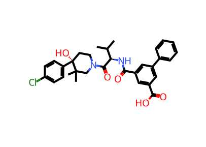 CC(C)[C@@H](NC(=O)c1cc(C(=O)O)cc(-c2ccccc2)c1)C(=O)N1CC[C@](O)(c2ccc(Cl)cc2)C(C)(C)C1